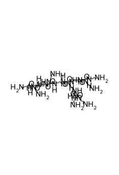 NCCCCNC(=O)C(CC(=O)NCCCNC(=O)C(CC(=O)NCCCCNC(=O)CC(NCCCCNC(=O)CC(NCCCCN)C(=O)NCCCCN)C(=O)NCCCCNC(=O)CC(NCCCCN)C(=O)NCCCCN)NCCCCN)NCCCN